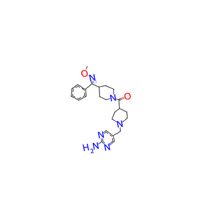 CO/N=C(\c1ccccc1)C1CCN(C(=O)C2CCN(Cc3cnc(N)nc3)CC2)CC1